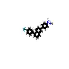 CN(C)c1ccc(-c2ccc3c(-c4ccc(F)cc4)cccc3c2)cc1